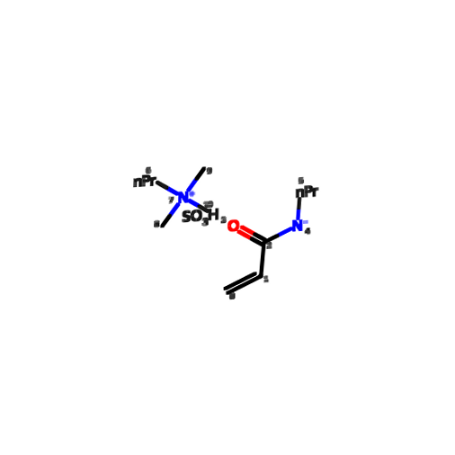 C=CC(=O)[N-]CCC.CCC[N+](C)(C)S(=O)(=O)O